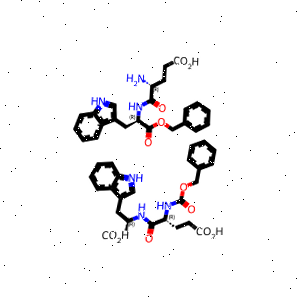 N[C@H](CCC(=O)O)C(=O)N[C@H](Cc1c[nH]c2ccccc12)C(=O)OCc1ccccc1.O=C(O)CC[C@@H](NC(=O)OCc1ccccc1)C(=O)N[C@H](Cc1c[nH]c2ccccc12)C(=O)O